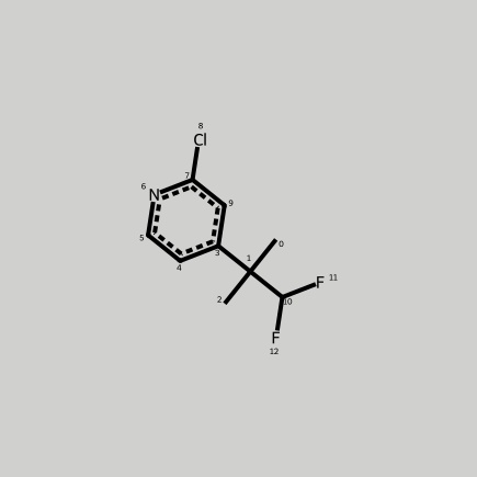 CC(C)(c1ccnc(Cl)c1)C(F)F